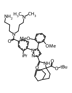 COc1cccc(OC)c1-c1cc(C(=O)NC2(C(=O)OC(C)(C)C)CCC3CC=C=C2C3)nn1-c1ccc(C(=O)N(CCCN)CCCN(C)C)cc1C(C)C